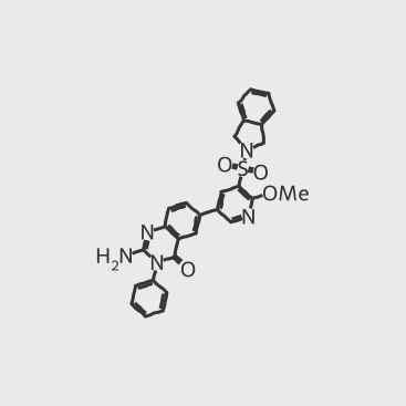 COc1ncc(-c2ccc3nc(N)n(-c4ccccc4)c(=O)c3c2)cc1S(=O)(=O)N1Cc2ccccc2C1